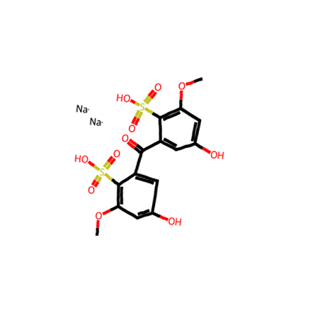 COc1cc(O)cc(C(=O)c2cc(O)cc(OC)c2S(=O)(=O)O)c1S(=O)(=O)O.[Na].[Na]